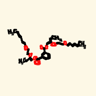 CCCCCCOCCOC(CC)COC(=O)c1cccc(C(=O)OCC(CC)OCCOCCCCCC)c1